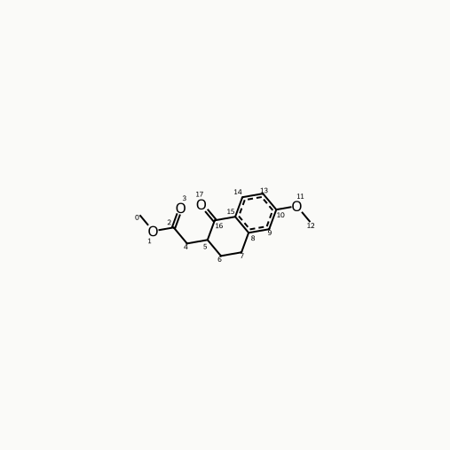 COC(=O)CC1CCc2cc(OC)ccc2C1=O